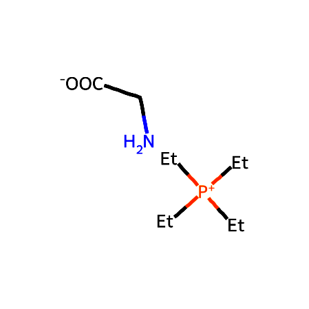 CC[P+](CC)(CC)CC.NCC(=O)[O-]